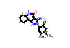 COc1cc(-n2nc3c(c2N)c(=O)[nH]c2ccccc23)c(C)cc1C